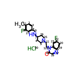 Cc1ccc(CNC2CCN(CCn3c(=O)cnc4ccc(F)cc43)CC2)cc1F.Cl